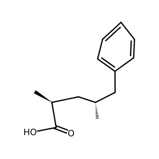 C[C@@H](Cc1ccccc1)C[C@H](C)C(=O)O